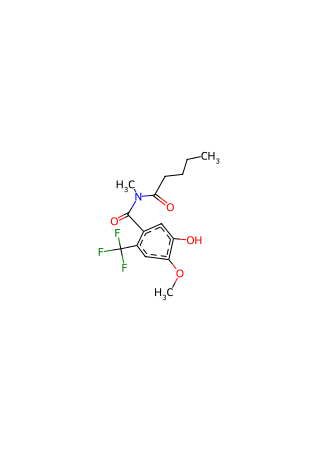 CCCCC(=O)N(C)C(=O)c1cc(O)c(OC)cc1C(F)(F)F